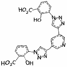 O=C(O)c1cccc(-n2cc(-c3cncc(-c4cn(-c5cccc(C(=O)O)c5O)nn4)c3)nn2)c1O